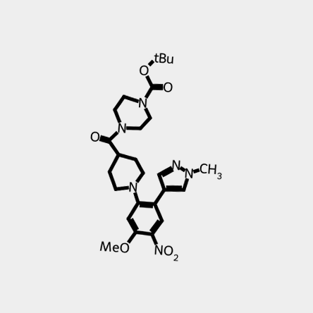 COc1cc(N2CCC(C(=O)N3CCN(C(=O)OC(C)(C)C)CC3)CC2)c(-c2cnn(C)c2)cc1[N+](=O)[O-]